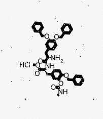 CNC(=O)Oc1cc(C[C@H](NC(=O)[C@@H](N)Cc2ccc(OCc3ccccc3)c(OCc3ccccc3)c2)C(=O)OC)ccc1OCc1ccccc1.Cl